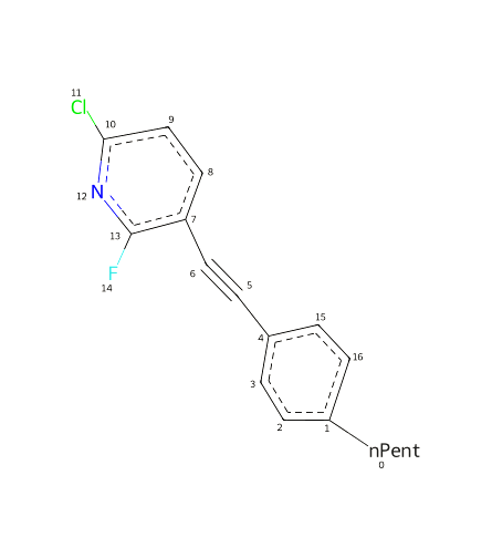 CCCCCc1ccc(C#Cc2ccc(Cl)nc2F)cc1